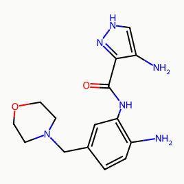 Nc1ccc(CN2CCOCC2)cc1NC(=O)c1n[nH]cc1N